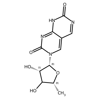 C[C@H]1O[C@@H](n2cc3cnc(=O)[nH]c3nc2=O)[C@@H](O)C1O